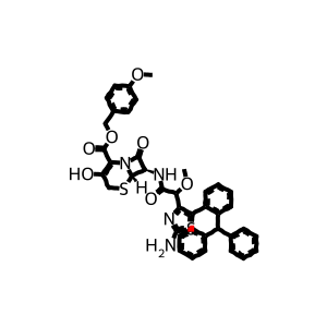 COc1ccc(COC(=O)C2=C(O)CS[C@H]3[C@H](NC(=O)C(OC)c4nc(N)sc4-c4ccccc4C(c4ccccc4)c4ccccc4)C(=O)N23)cc1